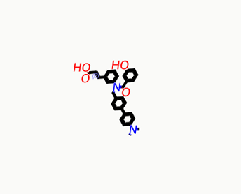 CN(C)c1ccc(-c2ccc(CN(C(=O)c3cccc(O)c3)c3cccc(/C=C/C(=O)O)c3)cc2)cc1